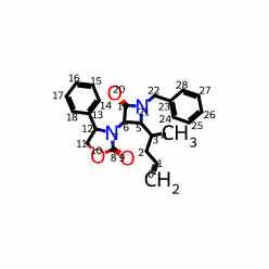 C=CCC(C)C1C(N2C(=O)OCC2c2ccccc2)C(=O)N1Cc1ccccc1